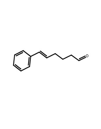 O=CCCCC=Cc1ccccc1